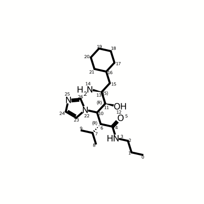 CCCNC(=O)[C@H](C(C)C)C([C@H](O)[C@@H](N)CC1CCCCC1)n1ccnc1